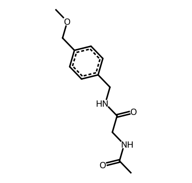 COCc1ccc(CNC(=O)CNC(C)=O)cc1